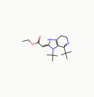 CCOC(=O)C=C1NC2=C(C(C(C)(C)C)=NCC2)N1C(C)(C)C